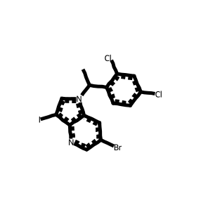 CC(c1ccc(Cl)cc1Cl)n1cc(I)c2ncc(Br)cc21